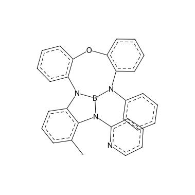 Cc1cccc2c1N(c1ccccn1)B1N(c3ccccc3)c3ccccc3Oc3ccccc3N12